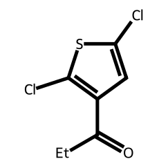 CCC(=O)c1cc(Cl)sc1Cl